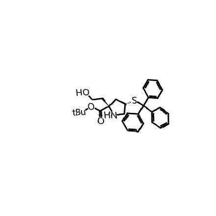 CC(C)(C)OC(=O)[C@]1(CCO)C[C@H](SC(c2ccccc2)(c2ccccc2)c2ccccc2)CN1